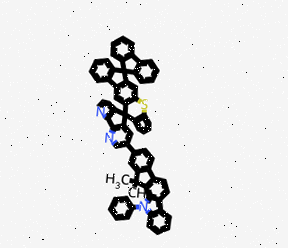 CC1(C)c2cc(-c3cnc4c(c3)C3(c5ccccc5Sc5cc6c(cc53)-c3ccccc3C63c5ccccc5-c5ccccc53)c3cccnc3-4)ccc2-c2ccc3c4ccccc4n(-c4ccccc4)c3c21